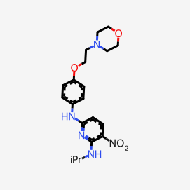 CC(C)Nc1nc(Nc2ccc(OCCN3CCOCC3)cc2)ccc1[N+](=O)[O-]